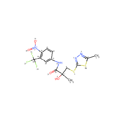 Cc1nnc(SCC(C)(O)C(=O)Nc2ccc([N+](=O)[O-])c(C(F)(F)F)c2)s1